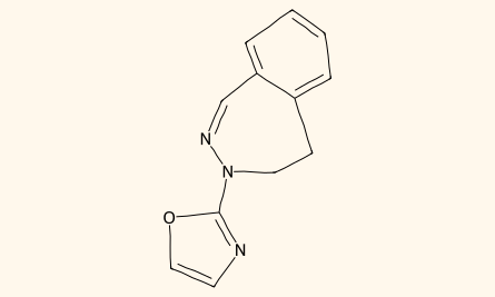 C1=NN(c2ncco2)CCc2ccccc21